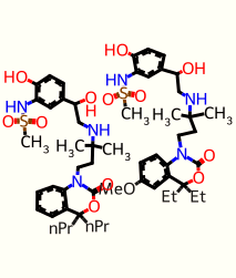 CCC1(CC)OC(=O)N(CCC(C)(C)NCC(O)c2ccc(O)c(NS(C)(=O)=O)c2)c2ccc(OC)cc21.CCCC1(CCC)OC(=O)N(CCC(C)(C)NCC(O)c2ccc(O)c(NS(C)(=O)=O)c2)c2ccccc21